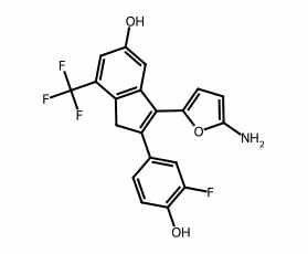 Nc1ccc(C2=C(c3ccc(O)c(F)c3)Cc3c2cc(O)cc3C(F)(F)F)o1